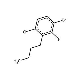 CCCCc1c(Cl)ccc(Br)c1F